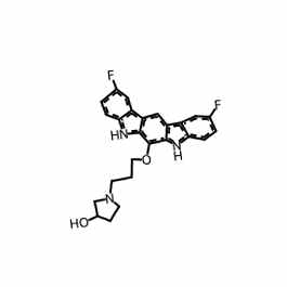 OC1CCN(CCCOc2c3[nH]c4ccc(F)cc4c3cc3c2[nH]c2ccc(F)cc23)C1